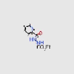 CCOC(=O)NNC(=O)c1ccccn1